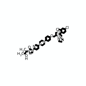 CC(O)C(C)n1ncn(-c2ccc(N3CCN(c4ccc(OCC5COC(Cn6nccn6)(c6ccc(Cl)cc6Cl)O5)cc4)CC3)cn2)c1=O